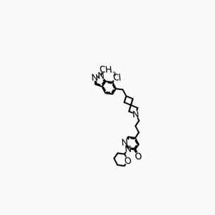 Cn1ncc2ccc(CC3CC4(C3)CN(CCCc3cnn(C5CCCCO5)c(=O)c3)C4)c(Cl)c21